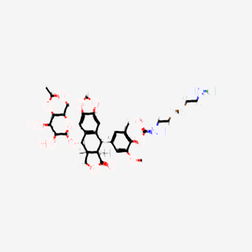 COc1cc([C@@H]2c3cc4c(cc3[C@@H](OC3OC5COC(C)OC5C(O)C3O)[C@H]3COC(=O)[C@H]23)OCO4)cc(C)c1OC(=O)NCCSSCCNCl